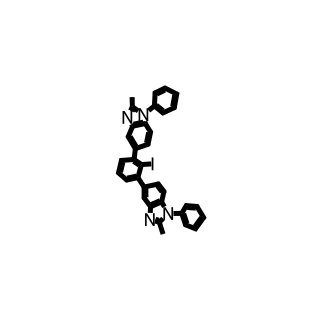 Cc1nc2cc(-c3cccc(-c4ccc5c(c4)nc(C)n5-c4ccccc4)c3I)ccc2n1-c1ccccc1